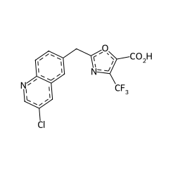 O=C(O)c1oc(Cc2ccc3ncc(Cl)cc3c2)nc1C(F)(F)F